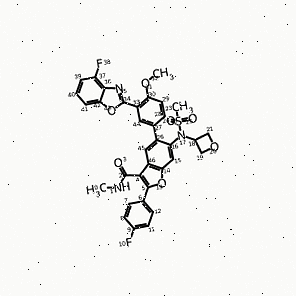 CNC(=O)c1c(-c2ccc(F)cc2)oc2cc(N(C3COC3)S(C)(=O)=O)c(-c3ccc(OC)c(-c4nc5c(F)cccc5o4)c3)cc12